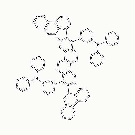 c1ccc(N(c2ccccc2)c2cccc(-c3c4c(cc5c3ccc3c6cc7c(c(-c8cccc(N(c9ccccc9)c9ccccc9)c8)c6ccc53)-c3cc5ccccc5c5cccc-7c35)-c3cc5ccccc5c5cccc-4c35)c2)cc1